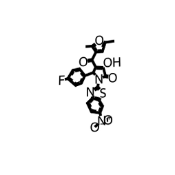 Cc1cc(C(=O)C2=C(O)C(=O)N(c3nc4ccc([N+](=O)[O-])cc4s3)C2c2ccc(F)cc2)c(C)o1